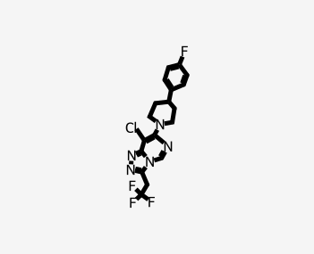 Fc1ccc(C2CCN(c3ncn4c(CC(F)(F)F)nnc4c3Cl)CC2)cc1